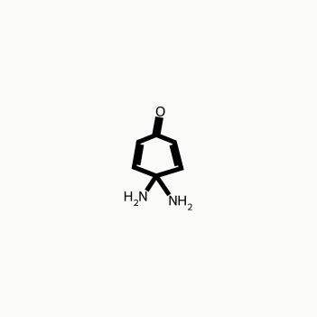 NC1(N)C=CC(=O)C=C1